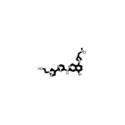 CC(C)c1ccc(N2CC(C[S+](C)[O-])C2)c2cnc(Nc3ccnc(-c4cnn(CCO)c4)n3)cc12